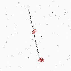 CCCCCCC=CCCCCCCCCCCCC(=O)OCCCCCCCCCCCCCCCCCCCCCCC(=O)O